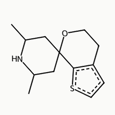 CC1CC2(CC(C)N1)OCCc1ccsc12